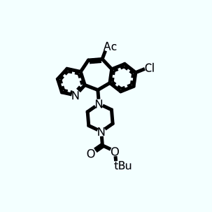 CC(=O)C1=Cc2cccnc2C(N2CCN(C(=O)OC(C)(C)C)CC2)c2ccc(Cl)cc21